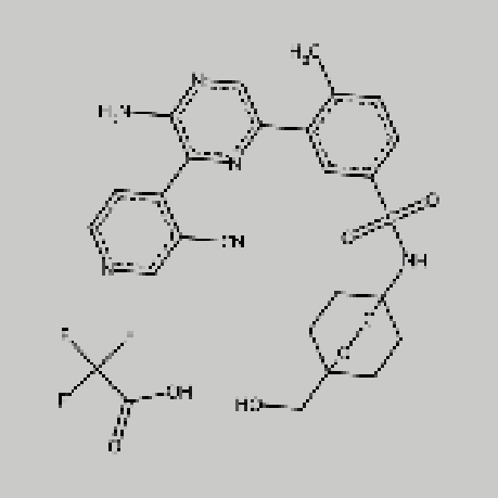 Cc1ccc(S(=O)(=O)NC23CCC(CO)(CC2)OC3)cc1-c1cnc(N)c(-c2ccncc2C#N)n1.O=C(O)C(F)(F)F